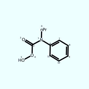 CCCN(C(=O)OO)c1ccccc1